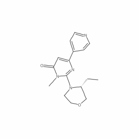 CC[C@@H]1COCCN1c1nc(-c2ccncc2)cc(=O)n1C